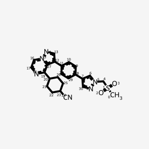 CS(=O)(=O)Cn1cc(-c2ccc(-c3cnn4ccnc(C5CCC(C#N)CC5)c34)cc2)cn1